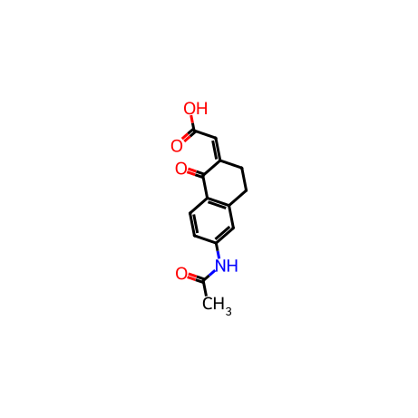 CC(=O)Nc1ccc2c(c1)CC/C(=C/C(=O)O)C2=O